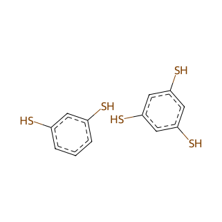 Sc1cc(S)cc(S)c1.Sc1cccc(S)c1